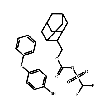 O=C(OCC1C2CC3CC(C2)CC1C3)OS(=O)(=O)C(F)F.Sc1ccc(Sc2ccccc2)cc1